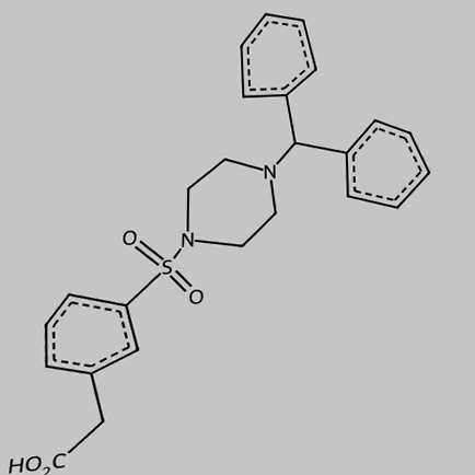 O=C(O)Cc1cccc(S(=O)(=O)N2CCN(C(c3ccccc3)c3ccccc3)CC2)c1